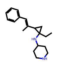 CCC1(NC2CCNCC2)CC1/C(C)=C/c1ccccc1